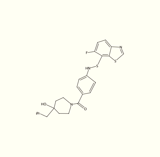 CC(C)CC1(O)CCN(C(=O)c2ccc(NSc3c(F)ccc4ncsc34)cc2)CC1